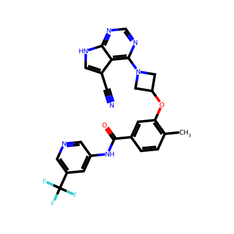 Cc1ccc(C(=O)Nc2cncc(C(F)(F)F)c2)cc1OC1CN(c2ncnc3[nH]cc(C#N)c23)C1